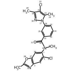 Cc1nc2cc(Cl)c(N(C)C(=O)c3cccc(-n4nc(C)c(Cl)c4C)c3)cc2o1